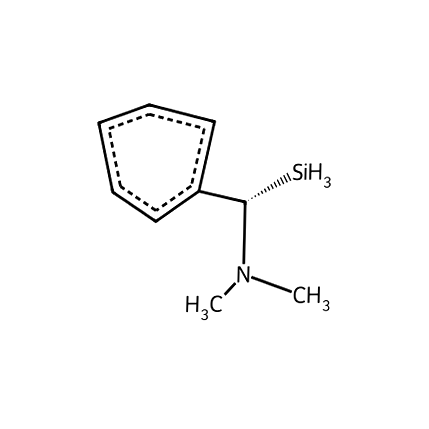 CN(C)[C@@H]([SiH3])c1ccccc1